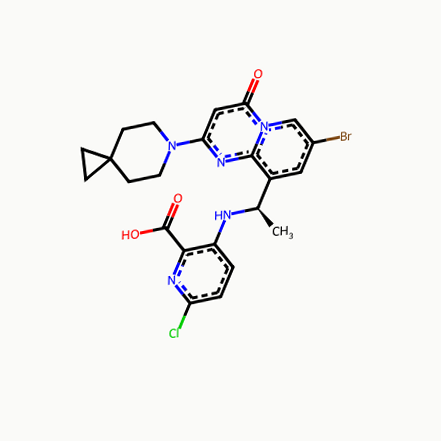 C[C@@H](Nc1ccc(Cl)nc1C(=O)O)c1cc(Br)cn2c(=O)cc(N3CCC4(CC3)CC4)nc12